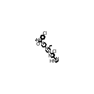 CC[C@H]1CN(c2ncc(-c3ncc[nH]3)cc2Cl)CCN1C1CCN([C@@H](C(=O)NC)c2ccc(Cl)cc2)CC1